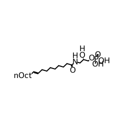 CCCCCCCCC=CCCCCCCCC(=O)NC[C@H](O)COP(=O)(O)O